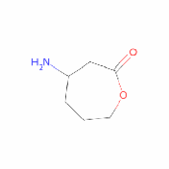 NC1CCCOC(=O)C1